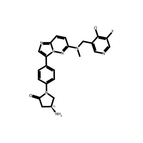 CN(Cc1cncc(F)c1Cl)c1ccc2ncc(-c3ccc(N4C[C@@H](N)CC4=O)cc3)n2n1